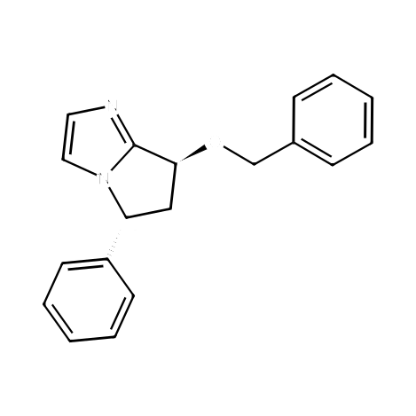 c1ccc(CO[C@H]2C[C@H](c3ccccc3)n3ccnc32)cc1